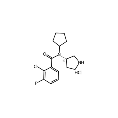 Cl.O=C(c1cccc(F)c1Cl)N(C1CCCC1)[C@H]1CCNC1